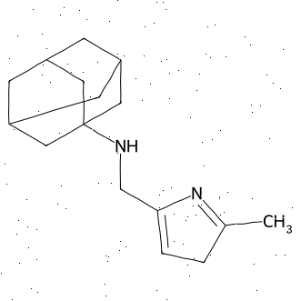 CC1=NC(CNC23CC4CC(CC(C4)C2)C3)=CC1